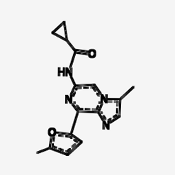 Cc1ccc(-c2nc(NC(=O)C3CC3)cn3c(C)cnc23)o1